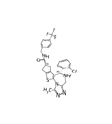 Cc1nnc2n1-c1sc3c(c1[C@H](c1ccccc1Cl)NC2)C[C@H](C(=O)NCc1ccc(C(F)(F)F)cc1)C3